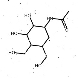 CC(=O)NC1CC(CO)C(CO)C(O)C1O